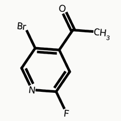 CC(=O)c1cc(F)ncc1Br